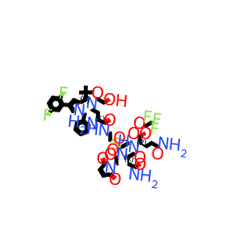 CC(C)(C)[C@H](c1cc(-c2cc(F)ccc2F)cn1Cc1ccccc1)N(CC[C@H](N)C(=O)NCCS(=O)(=O)CCN(C(=O)[C@@H](CC(N)=O)NC(=O)CN1C(=O)C=CC1=O)[C@H](CCC(N)=O)C(=O)OC(=O)C(F)(F)F)C(=O)CO